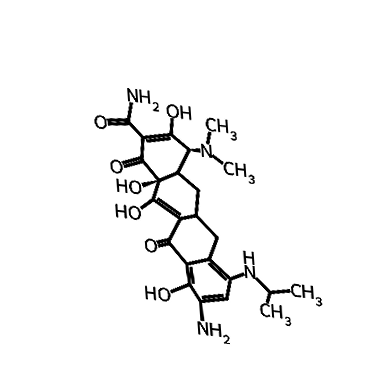 CC(C)Nc1cc(N)c(O)c2c1CC1CC3[C@H](N(C)C)C(O)=C(C(N)=O)C(=O)[C@@]3(O)C(O)=C1C2=O